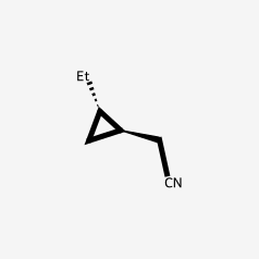 CC[C@H]1C[C@@H]1CC#N